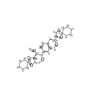 COC(c1cnc(C[C@H](OC)[C@H]2COC3(CCCCC3)O2)cn1)C(OC)[C@H]1COC2(CCCCC2)O1